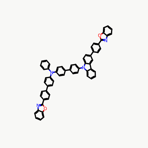 c1ccc(N(c2ccc(-c3ccc(-c4nc5ccccc5o4)cc3)cc2)c2ccc(-c3ccc(-n4c5ccccc5c5cc(-c6ccc(-c7nc8ccccc8o7)cc6)ccc54)cc3)cc2)cc1